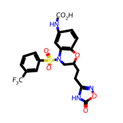 O=C(O)Nc1ccc2c(c1)N(S(=O)(=O)c1cccc(C(F)(F)F)c1)CC(CCc1noc(=O)[nH]1)O2